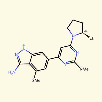 CC[C@@H]1CCCN1c1cc(-c2cc(SC)c3c(N)n[nH]c3c2)nc(NC)n1